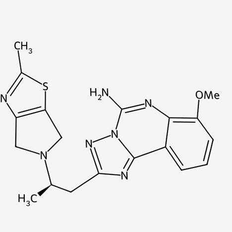 COc1cccc2c1nc(N)n1nc(C[C@@H](C)N3Cc4nc(C)sc4C3)nc21